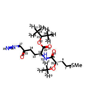 [2H]C([2H])([2H])O[C@@H](CCSC)C(=O)N[C@@H](CCC(=O)C=[N+]=[N-])C(=O)OC(C([2H])([2H])[2H])C([2H])([2H])[2H]